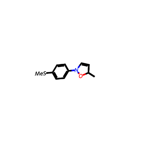 CSc1ccc(N2C=CC(C)O2)cc1